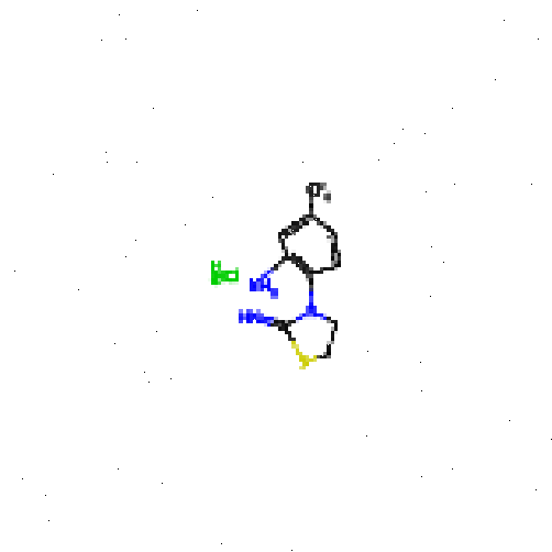 Cl.Cl.N=C1SCCN1c1ccc(C(F)(F)F)cc1N